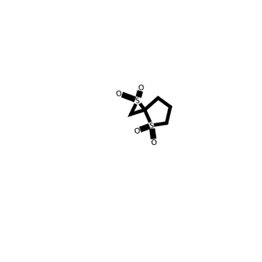 O=S1(=O)CCCC12CS2(=O)=O